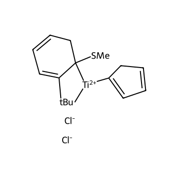 CS[C]1([Ti+2]([CH3])[C]2=CC=CC2)CC=CC=C1C(C)(C)C.[Cl-].[Cl-]